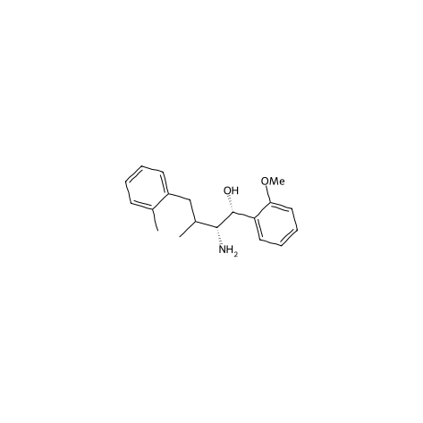 COc1ccccc1[C@@H](O)[C@H](N)C(C)Cc1ccccc1C